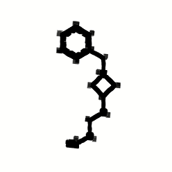 CC(C)(C)OCOC1CN(Cc2ccccc2)C1